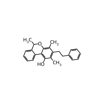 Cc1c(O)c2c(c(C)c1CCc1ccccc1)OC(C)c1ccccc1-2